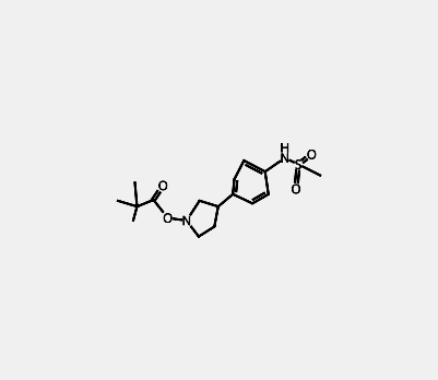 CC(C)(C)C(=O)ON1CCC(c2ccc(NS(C)(=O)=O)cc2)C1